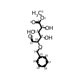 COC(=O)[C@@H](O)[C@@H](O)[C@H](O)[C@H](C=O)OCc1ccccc1